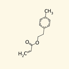 C=CC(=O)OCCc1ccc(C)cc1